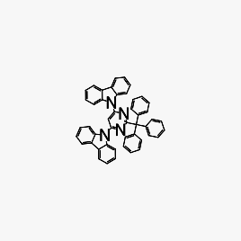 c1ccc(C(c2ccccc2)(c2ccccc2)c2nc(-n3c4ccccc4c4ccccc43)cc(-n3c4ccccc4c4ccccc43)n2)cc1